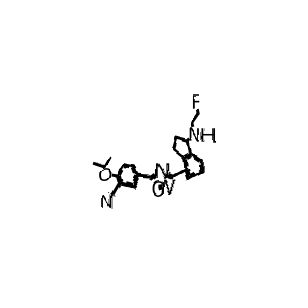 CC(C)Oc1ccc(-c2nc(-c3cccc4c3CCC4NCCF)no2)cc1C#N